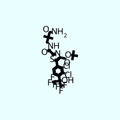 CC(C)(C)OC(=O)c1nc(C(=O)NCC(C)(C)C(N)=O)sc1-c1ccc(C(O)(C(F)(F)F)C(F)(F)F)c(Cl)c1Cl